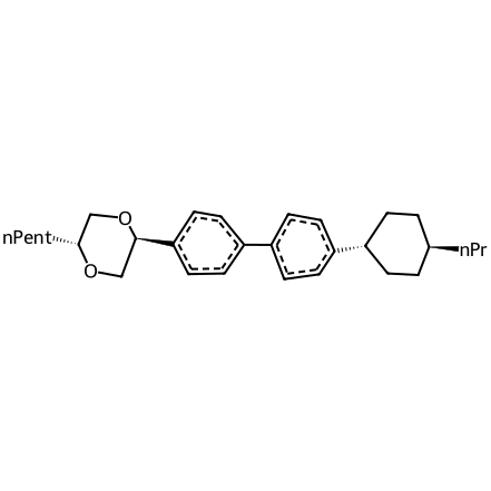 CCCCC[C@@H]1CO[C@@H](c2ccc(-c3ccc([C@H]4CC[C@H](CCC)CC4)cc3)cc2)CO1